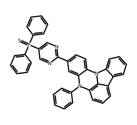 S=P(c1ccccc1)(c1ccccc1)c1cnc(-c2ccc3c(c2)N(c2ccccc2)c2cccc4c5ccccc5n-3c24)nc1